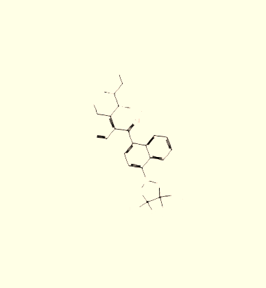 C=C/C(C(=N)c1ccc(B2OC(C)(C)C(C)(C)O2)c2ccccc12)=C(\CC)[C@H](C)[C@@H](C)CS